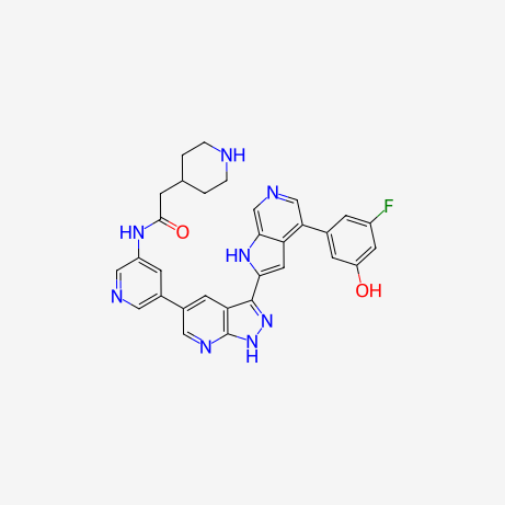 O=C(CC1CCNCC1)Nc1cncc(-c2cnc3[nH]nc(-c4cc5c(-c6cc(O)cc(F)c6)cncc5[nH]4)c3c2)c1